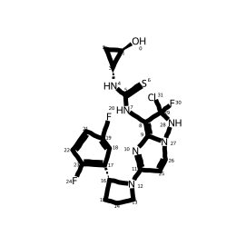 O[C@@H]1C[C@H]1NC(=S)NC1=C2N=C(N3CCC[C@@H]3c3cc(F)ccc3F)C=CN2NC1(F)Cl